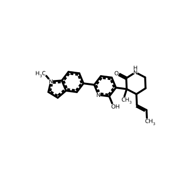 C/C=C/C1CCNC(=O)C1(C)c1ccc(-c2ccc3c(ccn3C)c2)nc1O